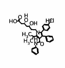 CC(C)c1c(C(=O)Nc2ccccc2)c(-c2ccccc2)c(-c2ccc(F)cc2)n1CC[C@@H](O)C[C@@H](O)CC(=O)O.Cl